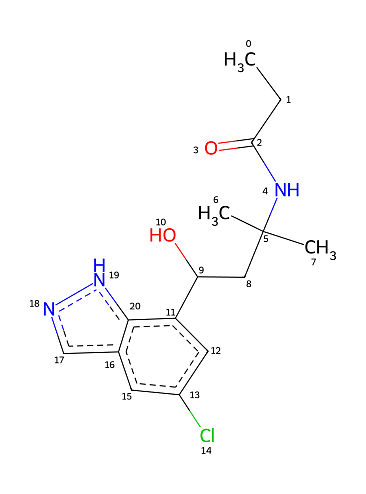 CCC(=O)NC(C)(C)CC(O)c1cc(Cl)cc2cn[nH]c12